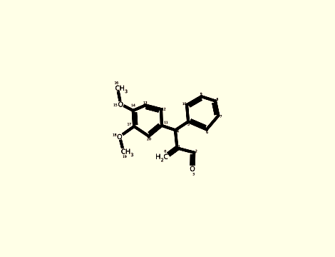 C=C(C=O)C(c1ccccc1)c1ccc(OC)c(OC)c1